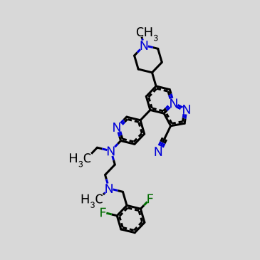 CCN(CCN(C)Cc1c(F)cccc1F)c1ccc(-c2cc(C3CCN(C)CC3)cn3ncc(C#N)c23)cn1